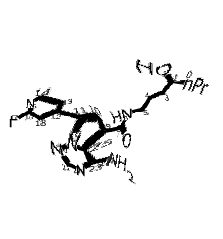 CCC[C@H](O)CCCNC(=O)c1cc(-c2ccnc(F)c2)n2ncnc(N)c12